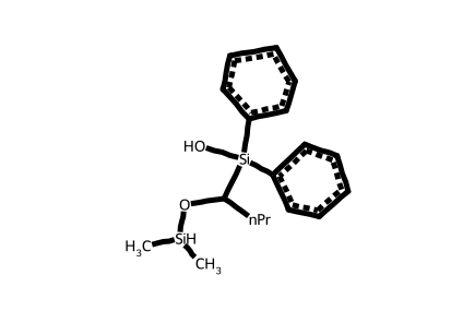 CCCC(O[SiH](C)C)[Si](O)(c1ccccc1)c1ccccc1